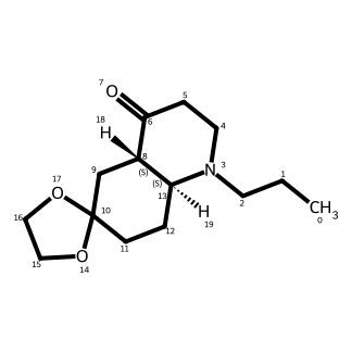 CCCN1CCC(=O)[C@H]2CC3(CC[C@@H]21)OCCO3